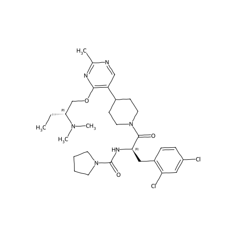 CC[C@H](COc1nc(C)ncc1C1CCN(C(=O)[C@@H](Cc2ccc(Cl)cc2Cl)NC(=O)N2CCCC2)CC1)N(C)C